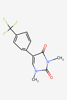 Cn1cc(-c2ccc(C(F)(F)F)cc2)c(=O)n(C)c1=O